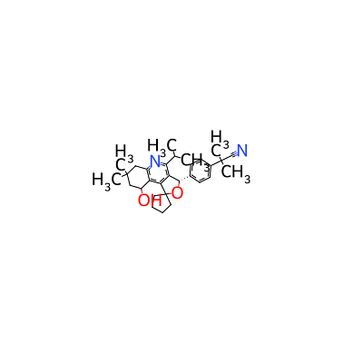 CC(C)c1nc2c(c3c1[C@H](c1ccc(C(C)(C)C#N)cc1)OC31CCCC1)C(O)CC(C)(C)C2